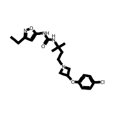 CCc1cc(NC(=O)NC(C)(C)CCN2CC(Oc3ccc(Cl)cc3)C2)on1